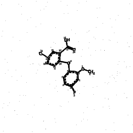 COc1cc(F)ccc1Oc1nnc(Cl)cc1C(=O)O